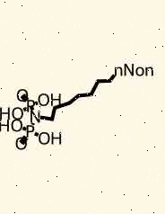 CCCCCCCCCCCCCCCCN(P(=O)(O)O)P(=O)(O)O